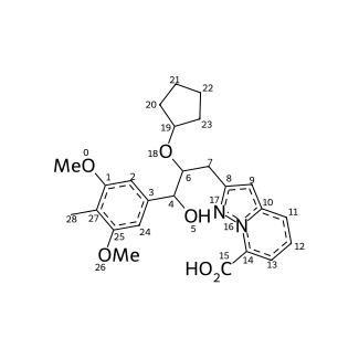 COc1cc(C(O)C(Cc2cc3cccc(C(=O)O)n3n2)OC2CCCC2)cc(OC)c1C